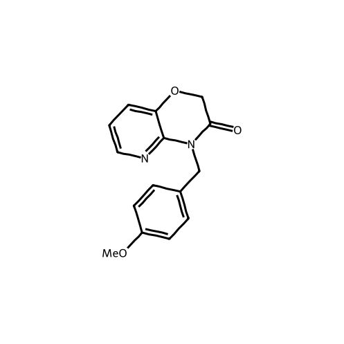 COc1ccc(CN2C(=O)COc3cccnc32)cc1